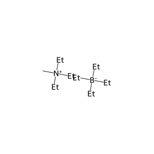 CC[B-](CC)(CC)CC.CC[N+](C)(CC)CC